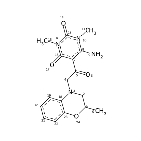 CC1CN(CC(=O)c2c(N)n(C)c(=O)n(C)c2=O)c2ccccc2O1